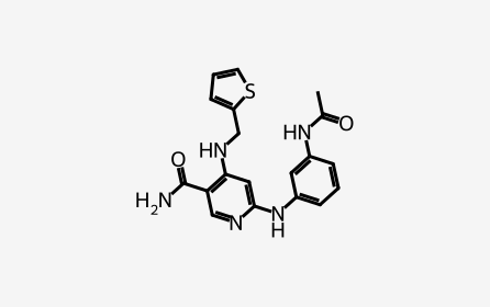 CC(=O)Nc1cccc(Nc2cc(NCc3cccs3)c(C(N)=O)cn2)c1